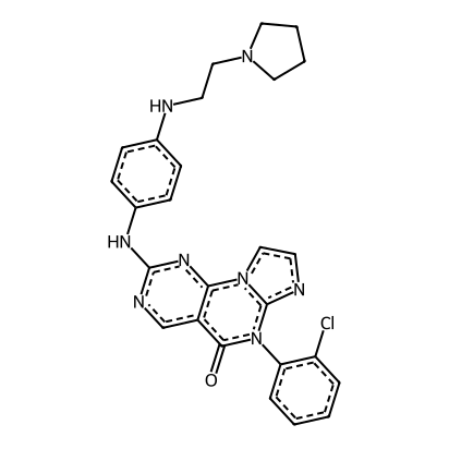 O=c1c2cnc(Nc3ccc(NCCN4CCCC4)cc3)nc2n2ccnc2n1-c1ccccc1Cl